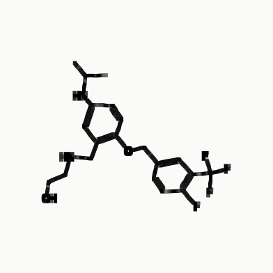 CC(C)Nc1ccc(OCc2ccc(F)c(C(F)(F)F)c2)c(CNCCO)c1